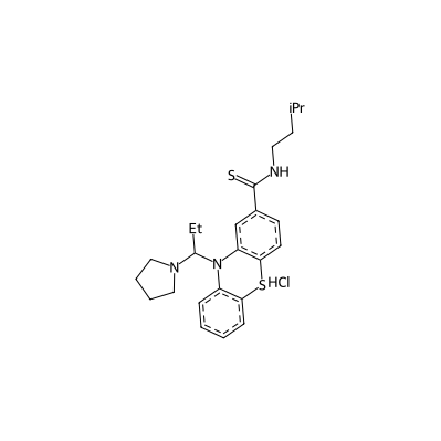 CCC(N1CCCC1)N1c2ccccc2Sc2ccc(C(=S)NCCC(C)C)cc21.Cl